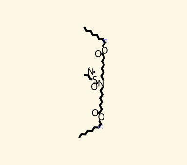 CCCCCC/C=C\COC(=O)CCCCCCCN(CCCCCCCC(=O)OC/C=C\CCCCCC)C(=O)SCC(C)N(C)C